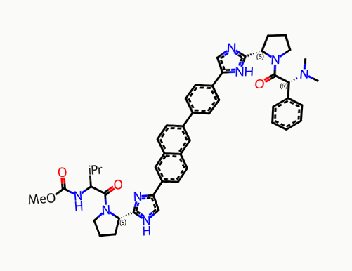 COC(=O)NC(C(=O)N1CCC[C@H]1c1nc(-c2ccc3cc(-c4ccc(-c5cnc([C@@H]6CCCN6C(=O)[C@@H](c6ccccc6)N(C)C)[nH]5)cc4)ccc3c2)c[nH]1)C(C)C